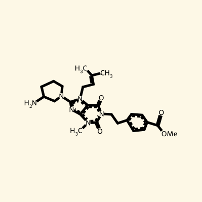 COC(=O)c1ccc(CCn2c(=O)c3c(nc(N4CCCC(N)C4)n3CC=C(C)C)n(C)c2=O)cc1